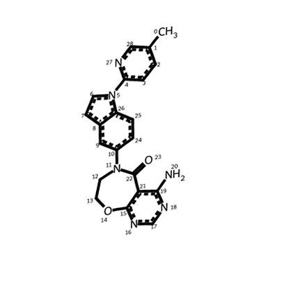 Cc1ccc(-n2ccc3cc(N4CCOc5ncnc(N)c5C4=O)ccc32)nc1